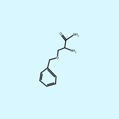 NC(=O)C(N)COCc1ccccc1